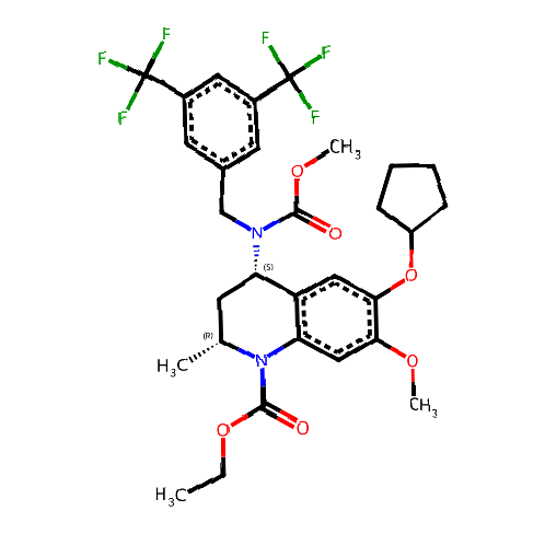 CCOC(=O)N1c2cc(OC)c(OC3CCCC3)cc2[C@@H](N(Cc2cc(C(F)(F)F)cc(C(F)(F)F)c2)C(=O)OC)C[C@H]1C